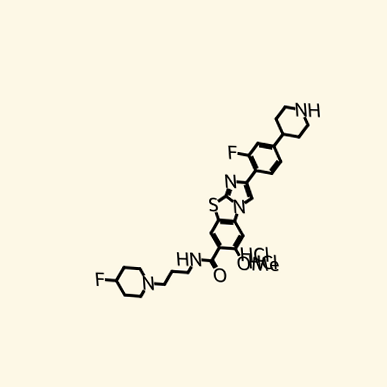 COc1cc2c(cc1C(=O)NCCCN1CCC(F)CC1)sc1nc(-c3ccc(C4CCNCC4)cc3F)cn12.Cl.Cl